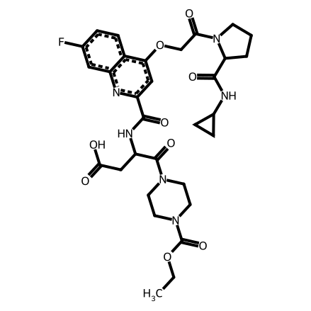 CCOC(=O)N1CCN(C(=O)C(CC(=O)O)NC(=O)c2cc(OCC(=O)N3CCCC3C(=O)NC3CC3)c3ccc(F)cc3n2)CC1